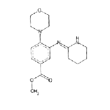 COC(=O)c1ccc(N2CCOCC2)c(N=C2CCCCN2)c1